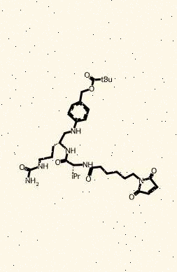 CC(C)[C@@H](NC(=O)CCCCCN1C(=O)C=CC1=O)C(=O)N[C@H](CCCNC(N)=O)CNc1ccc(COC(=O)C(C)(C)C)cc1